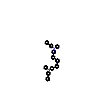 C1=CC(N(c2ccccc2)c2ccc(-c3ccccc3)cc2)CC=C1c1cccc(-c2cccc(-c3cccc(-c4ccc(N(c5ccccc5)c5ccc(-c6ccccc6)cc5)cc4)c3)c2)c1